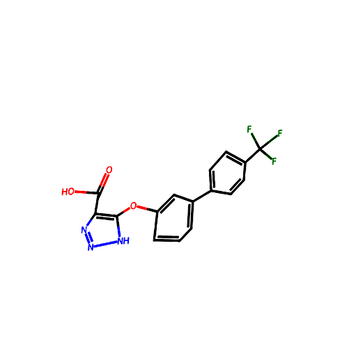 O=C(O)c1nn[nH]c1Oc1cccc(-c2ccc(C(F)(F)F)cc2)c1